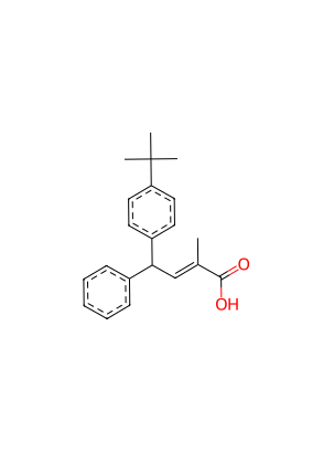 C/C(=C\C(c1ccccc1)c1ccc(C(C)(C)C)cc1)C(=O)O